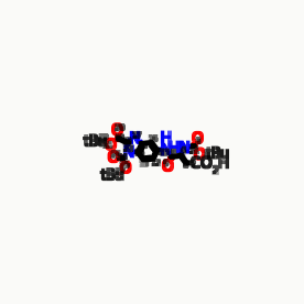 CC(C)(C)OC(=O)NC(CC(=O)O)C(=O)Nc1ccc2c(c1)nc(C(=O)OC(C)(C)C)n2C(=O)OC(C)(C)C